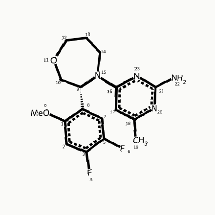 COc1cc(F)c(F)cc1[C@@H]1COCCCN1c1cc(C)nc(N)n1